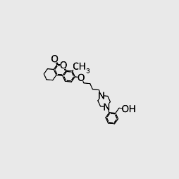 Cc1c(OCCCCN2CCN(c3ccccc3CO)CC2)ccc2c3c(c(=O)oc12)CCCC3